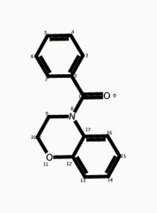 O=C(c1ccccc1)N1C[C]Oc2ccccc21